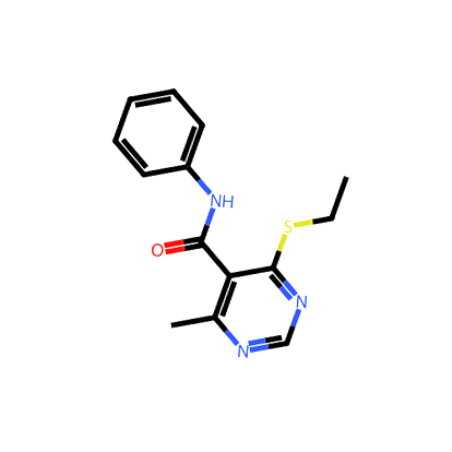 CCSc1ncnc(C)c1C(=O)Nc1ccccc1